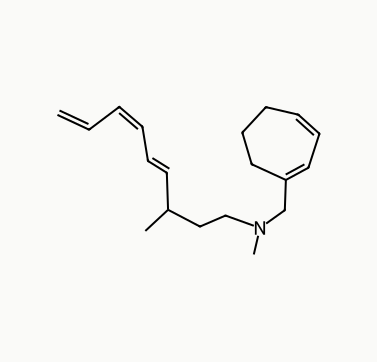 C=C/C=C\C=C\C(C)CCN(C)CC1=CC=CCCC1